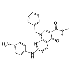 CNC(=O)c1cn(Cc2ccccc2)c2nc(Nc3ccc(N)cc3)ncc2c1=O